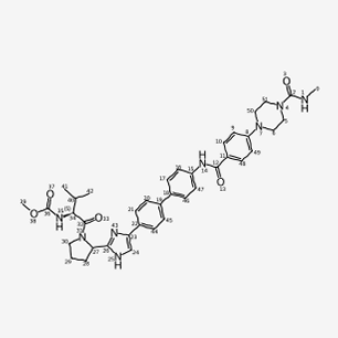 CNC(=O)N1CCN(c2ccc(C(=O)Nc3ccc(-c4ccc(-c5c[nH]c(C6CCCN6C(=O)[C@@H](NC(=O)OC)C(C)C)n5)cc4)cc3)cc2)CC1